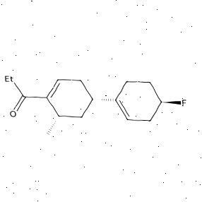 CCC(=O)C1=CC[C@H](C2=CC[C@H](F)CC2)C[C@@H]1C